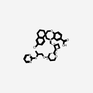 CC(CO[C@@H]1CCO[C@@H]([C@@H]2CC[C@H]2CN2CC3(CCCc4cc(Cl)ccc43)COc3ccc(C(=O)O)cc32)C1)Sc1ncccn1